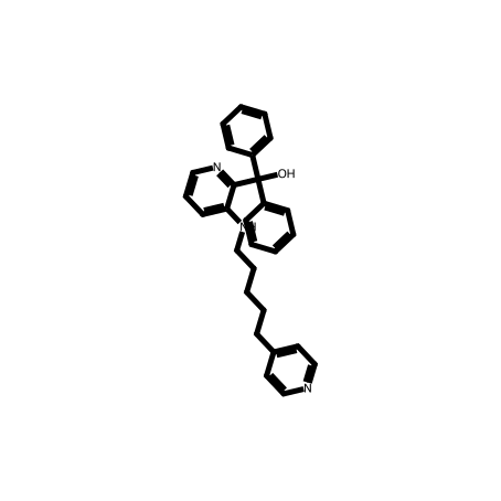 OC(c1ccccc1)(c1ccccc1)c1ncccc1NCCCCCc1ccncc1